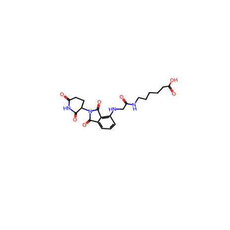 O=C(O)CCCCCNC(=O)CNc1cccc2c1C(=O)N(C1CCC(=O)NC1=O)C2=O